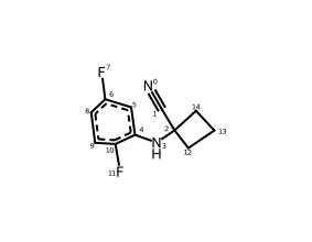 N#CC1(Nc2cc(F)ccc2F)CCC1